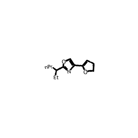 CCCC(CC)c1nc(C2=CCCO2)co1